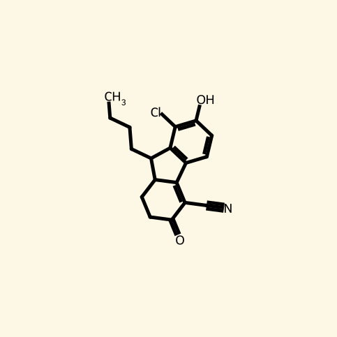 CCCCC1c2c(ccc(O)c2Cl)C2=C(C#N)C(=O)CCC21